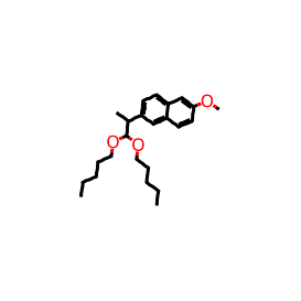 CCCCCOC(OCCCCC)C(C)c1ccc2cc(OC)ccc2c1